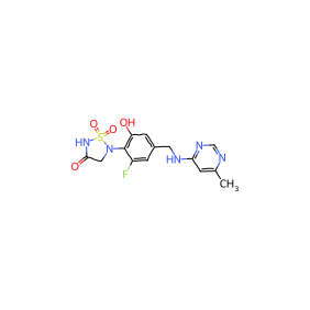 Cc1cc(NCc2cc(O)c(N3CC(=O)NS3(=O)=O)c(F)c2)ncn1